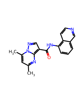 Cc1cc(C)n2ncc(C(=O)Nc3cccc4cnccc34)c2n1